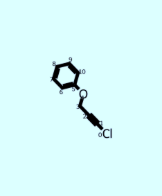 ClC#CCOc1ccccc1